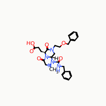 CN1CC(=O)N2[C@@H](CCC(=O)O)C(=O)N(CCOCc3ccccc3)C[C@@H]2N1C(=O)NCc1ccccc1